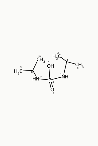 CC(C)NP(=O)(O)NC(C)C